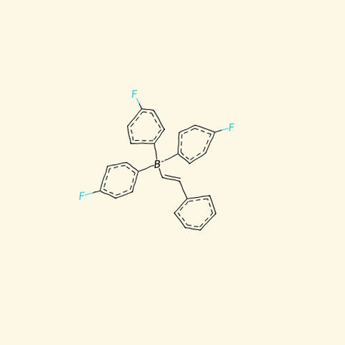 Fc1ccc([B-](C=Cc2ccccc2)(c2ccc(F)cc2)c2ccc(F)cc2)cc1